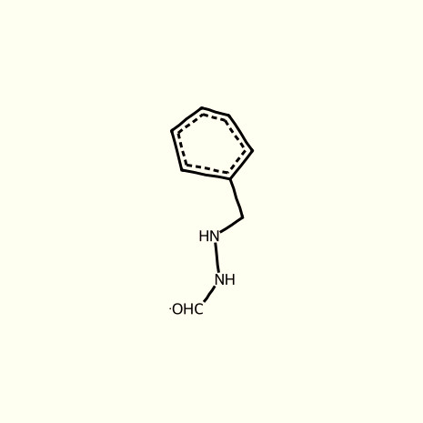 O=[C]NNCc1ccccc1